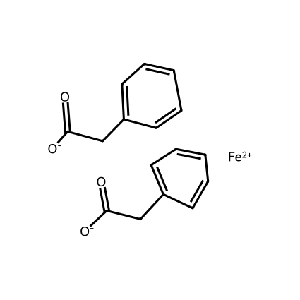 O=C([O-])Cc1ccccc1.O=C([O-])Cc1ccccc1.[Fe+2]